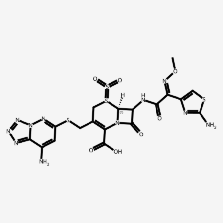 CON=C(C(=O)NC1C(=O)N2C(C(=O)O)=C(CSc3cc(N)c4nnnn4n3)CS(=S(=O)=O)[C@@H]12)c1csc(N)n1